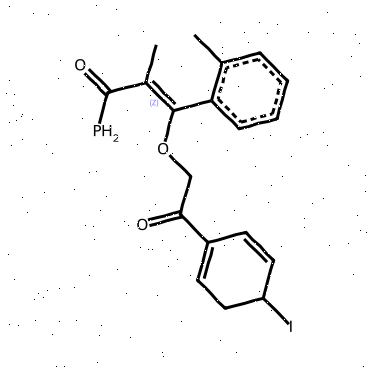 C/C(C(=O)P)=C(/OCC(=O)C1=CCC(I)C=C1)c1ccccc1C